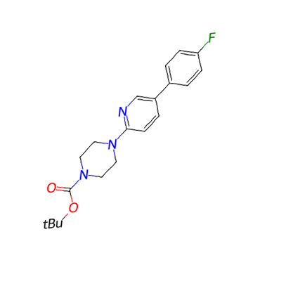 CC(C)(C)OC(=O)N1CCN(c2ccc(-c3ccc(F)cc3)cn2)CC1